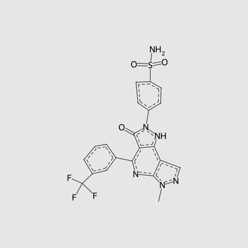 Cn1ncc2c3[nH]n(-c4ccc(S(N)(=O)=O)cc4)c(=O)c3c(-c3cccc(C(F)(F)F)c3)nc21